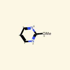 COc1ncccn1